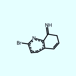 N=C1CC=Cc2ccc(Br)nc21